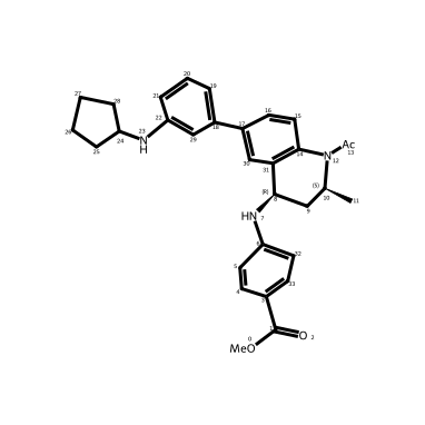 COC(=O)c1ccc(N[C@@H]2C[C@H](C)N(C(C)=O)c3ccc(-c4cccc(NC5CCCC5)c4)cc32)cc1